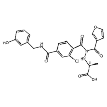 C[C@H](NN(C(=O)c1ccoc1)C(=O)c1ccc(C(=O)NCc2cccc(O)c2)cc1Cl)C(=O)O